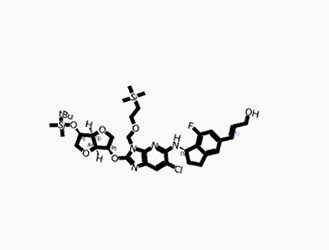 CC(C)(C)[Si](C)(C)O[C@@H]1CO[C@H]2[C@@H]1OC[C@H]2Oc1nc2cc(Cl)c(N[C@H]3CCc4cc(/C=C/CO)cc(F)c43)nc2n1COCC[Si](C)(C)C